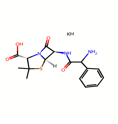 CC1(C)S[C@@H]2[C@H](NC(=O)C(N)c3ccccc3)C(=O)N2[C@H]1C(=O)O.[KH]